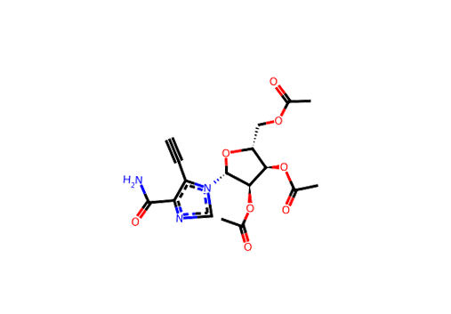 C#Cc1c(C(N)=O)ncn1[C@@H]1O[C@H](COC(C)=O)[C@@H](OC(C)=O)[C@H]1OC(C)=O